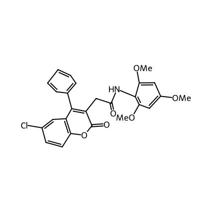 COc1cc(OC)c(NC(=O)Cc2c(-c3ccccc3)c3cc(Cl)ccc3oc2=O)c(OC)c1